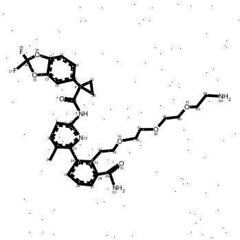 Cc1ccc(NC(=O)C2(c3ccc4c(c3)OC(F)(F)O4)CC2)nc1-c1cccc(C(N)=O)c1CCOCCOCCOCCN